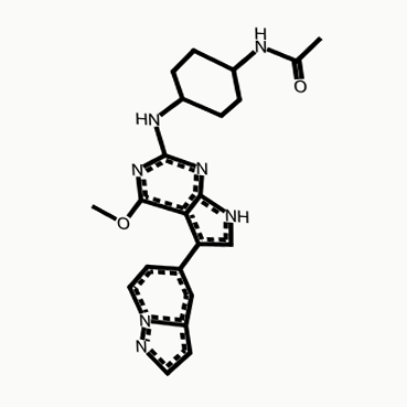 COc1nc(NC2CCC(NC(C)=O)CC2)nc2[nH]cc(-c3ccn4nccc4c3)c12